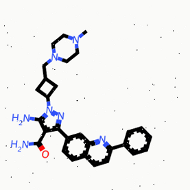 CN1CCN(CC2CC(n3nc(-c4ccc5ccc(-c6ccccc6)nc5c4)c(C(N)=O)c3N)C2)CC1